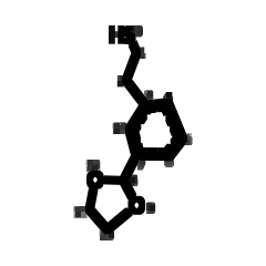 SCCc1cccc(C2OCCO2)c1